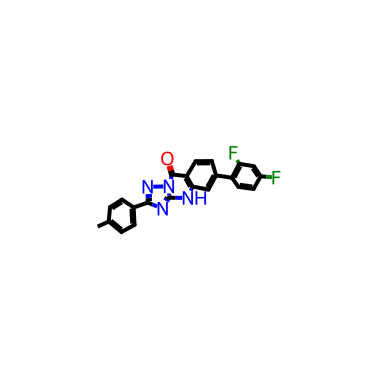 Cc1ccc(-c2nc3[nH]c4cc(-c5ccc(F)cc5F)ccc4c(=O)n3n2)cc1